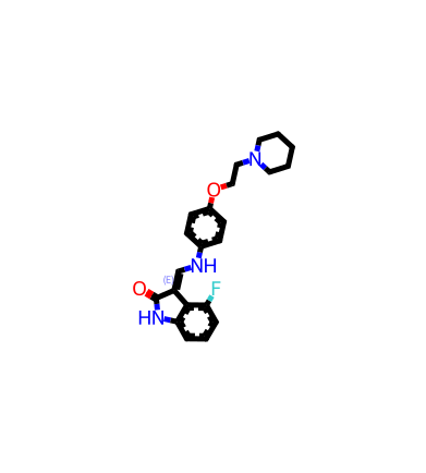 O=C1Nc2cccc(F)c2/C1=C\Nc1ccc(OCCN2CCCCC2)cc1